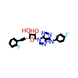 O[C@@H]1[C@H](O)[C@@H](C#Cc2ccccc2F)O[C@H]1n1cnc2c(Nc3ccc(F)cc3)ncnc21